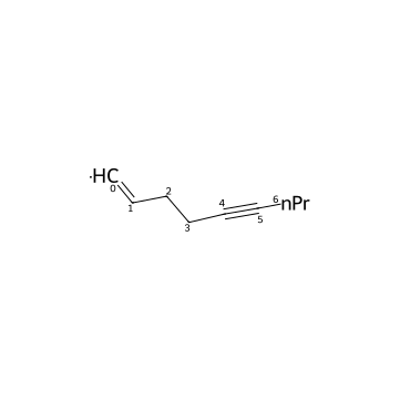 [CH]=CCCC#CCCC